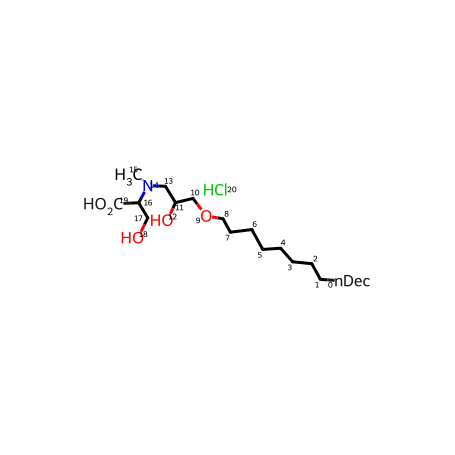 CCCCCCCCCCCCCCCCCCOCC(O)CN(C)C(CO)C(=O)O.Cl